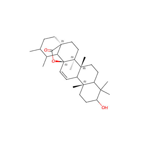 CC1CC[C@@]23CC[C@]4(C)[C@@](C=CC5[C@@]6(C)CCC(O)C(C)(C)C6CC[C@]54C)(OC2=O)C3C1C